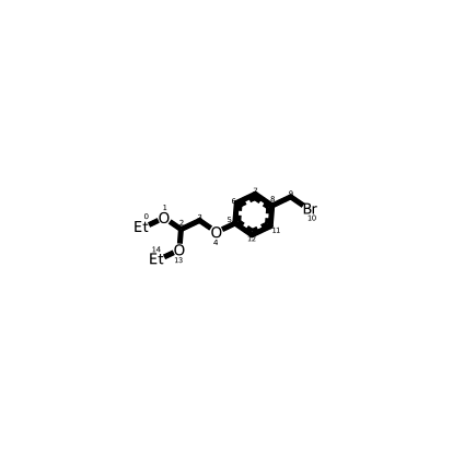 CCOC(COc1ccc(CBr)cc1)OCC